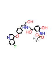 CS(=O)(=O)Nc1cc([C@@H](O)CN[C@H](CO)Cc2ccc(Oc3ccnc4ccc(F)cc34)cc2)ccc1O